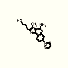 Cn1c(CCCO)nc2c3ccc(-n4cccn4)cc3nc(N)c21